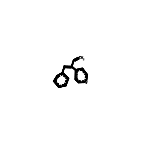 C=CC(=Cc1ccccc1)c1ccncc1